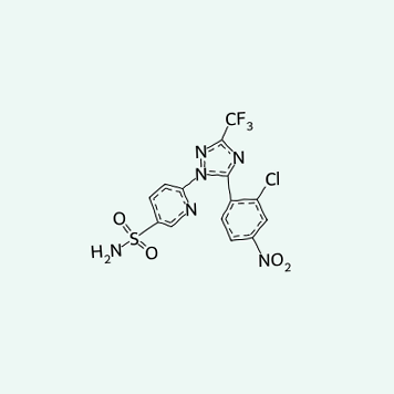 NS(=O)(=O)c1ccc(-n2nc(C(F)(F)F)nc2-c2ccc([N+](=O)[O-])cc2Cl)nc1